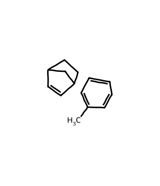 C1=CC2CCC1C2.Cc1ccccc1